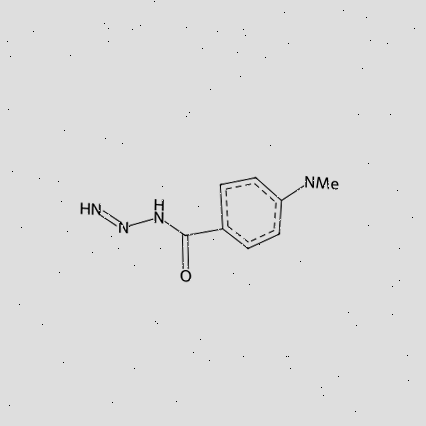 CNc1ccc(C(=O)NN=N)cc1